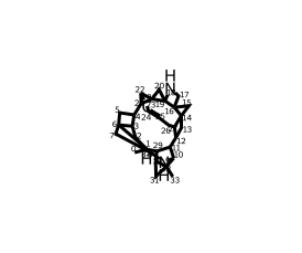 C[C@@H]1CC2C3CC24CC4NC2C(C4CC56CC57CNC75CC57C(C/C=C\CC46)C37)C1C1CC12C